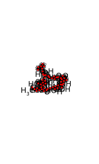 CN(C)c1ccc(/N=N/c2ccc(C(=O)NCCCC[C@H](NC(=O)CNC(=O)[C@H](CC(=O)O)NC(=O)[C@@H]3CCCN4C(=O)CC[C@H](NC(=O)c5ccc(CNC(=O)CNC(=O)[C@H](CCC(=O)NCCNc6cccc7c(S(=O)(=O)O)cccc67)NC(=O)OCC6c7ccccc7-c7ccccc76)cc5)C(=O)N34)C(=O)O)cc2)cc1